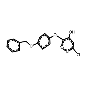 Oc1cc(Cl)nnc1Oc1ccc(OCc2ccccc2)cc1